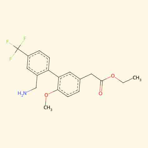 CCOC(=O)Cc1ccc(OC)c(-c2ccc(C(F)(F)F)cc2CN)c1